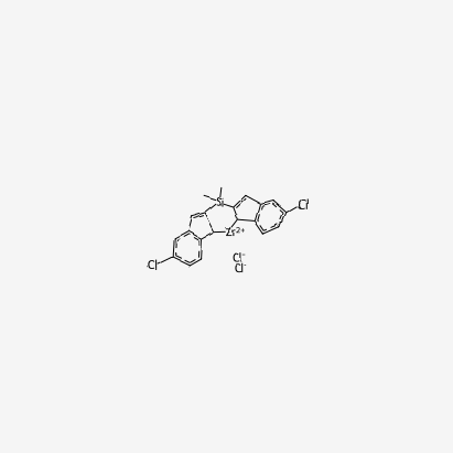 C[Si]1(C)C2=Cc3cc(Cl)ccc3[CH]2[Zr+2][CH]2C1=Cc1cc(Cl)ccc12.[Cl-].[Cl-]